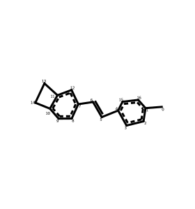 Cc1ccc(C=Cc2ccc3c(c2)CC3)cc1